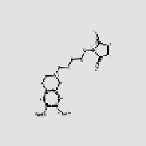 COc1cc2c(cc1OC)CN(CCCCCN1C(=O)CCC1=O)CC2